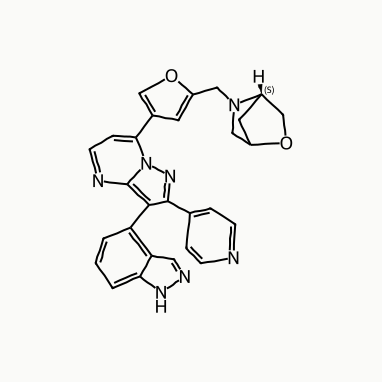 c1cc(-c2c(-c3ccncc3)nn3c(-c4coc(CN5CC6C[C@H]5CO6)c4)ccnc23)c2cn[nH]c2c1